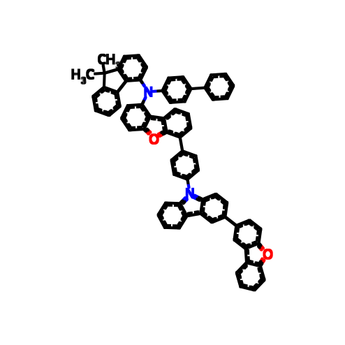 CC1(C)c2ccccc2-c2c(N(c3ccc(-c4ccccc4)cc3)c3cccc4oc5c(-c6ccc(-n7c8ccccc8c8cc(-c9ccc%10oc%11ccccc%11c%10c9)ccc87)cc6)cccc5c34)cccc21